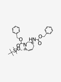 CC(C)(C)[Si](C)(C)OC[C@H]1C=CC[C@H](NC(=O)OCc2ccccc2)CN1C(=O)OCc1ccccc1